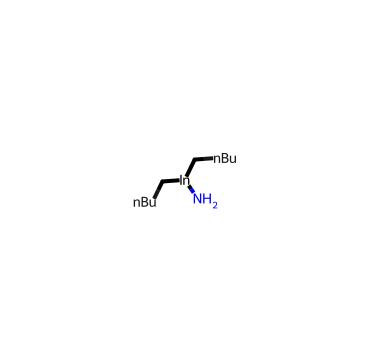 CCCC[CH2][In]([NH2])[CH2]CCCC